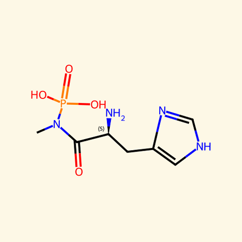 CN(C(=O)[C@@H](N)Cc1c[nH]cn1)P(=O)(O)O